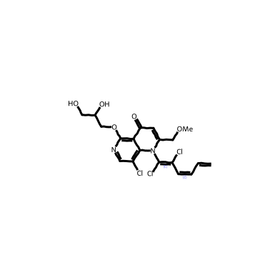 C=C/C=C\C(Cl)=C(/Cl)n1c(COC)cc(=O)c2c(OCC(O)CO)ncc(Cl)c21